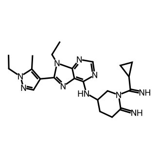 CCn1ncc(-c2nc3c(NC4CCC(=N)N(C(=N)C5CC5)C4)ncnc3n2CC)c1C